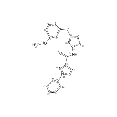 COc1cccc(Cc2cnc(NC(=O)c3ccn(-c4ccccc4)n3)s2)c1